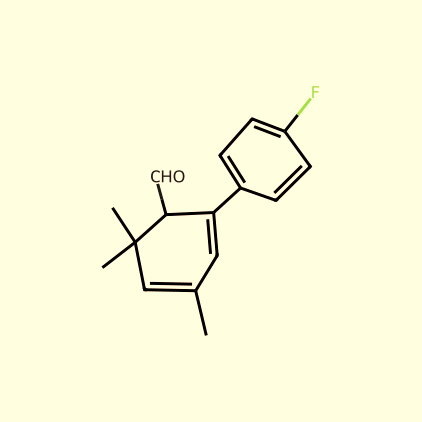 CC1=CC(C)(C)C(C=O)C(c2ccc(F)cc2)=C1